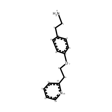 NCCc1ccc(OCCc2ccccn2)cc1